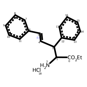 CCOC(=O)C(N)C(/C=C/c1ccccc1)c1ccccc1.Cl